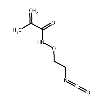 C=C(C)C(=O)NOCCN=C=O